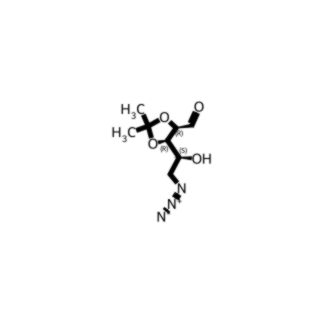 CC1(C)O[C@H]([C@@H](O)CN=[N+]=[N-])[C@H](C=O)O1